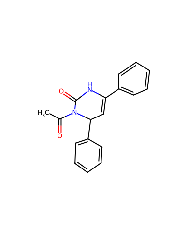 CC(=O)N1C(=O)NC(c2ccccc2)=CC1c1ccccc1